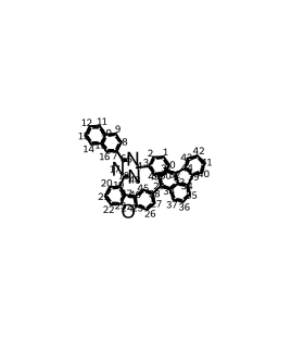 c1ccc(-c2nc(-c3ccc4ccccc4c3)nc(-c3cccc4oc5ccc(-c6ccc7c8c(cccc68)-c6ccccc6-7)cc5c34)n2)cc1